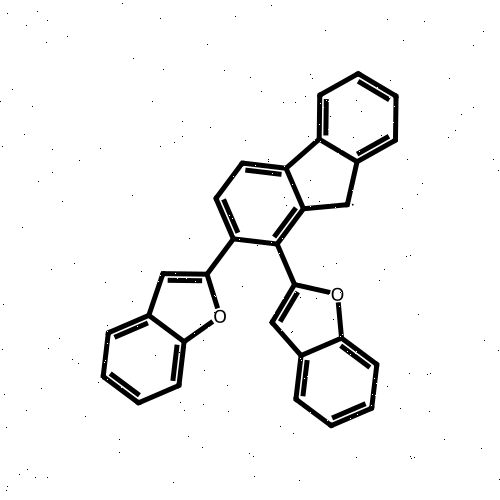 [CH]1c2ccccc2-c2ccc(-c3cc4ccccc4o3)c(-c3cc4ccccc4o3)c21